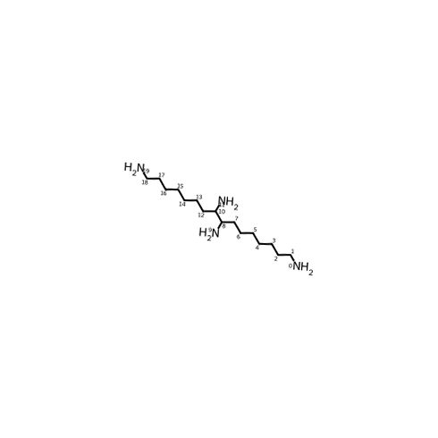 NCCCCCCCC(N)C(N)CCCCCCCN